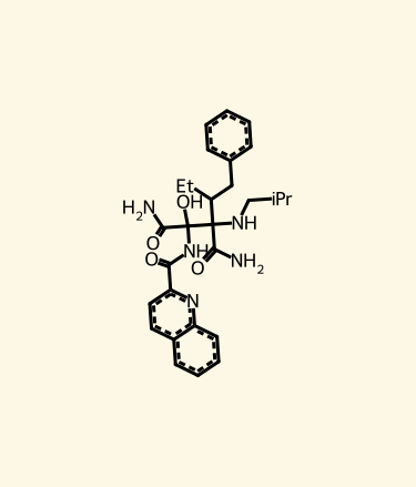 CCC(Cc1ccccc1)C(NCC(C)C)(C(N)=O)C(O)(NC(=O)c1ccc2ccccc2n1)C(N)=O